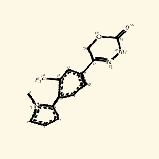 Cn1cccc1-c1ccc(C2=NNC(=O)OC2)cc1C(F)(F)F